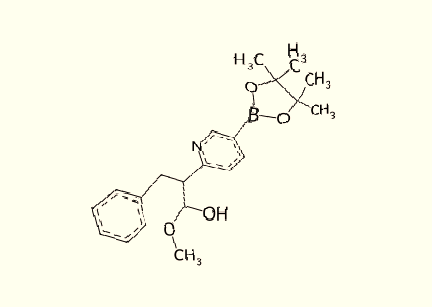 COC(O)C(Cc1ccccc1)c1ccc(B2OC(C)(C)C(C)(C)O2)cn1